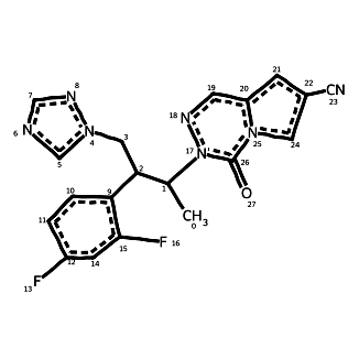 CC(C(Cn1cncn1)c1ccc(F)cc1F)n1ncc2cc(C#N)cn2c1=O